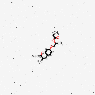 C=CC(=O)OC(C)COc1ccc(CC(=C)C(=O)OC)cc1